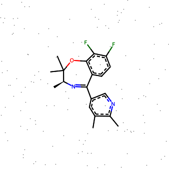 Cc1cc(C2=N[C@@H](C)C(C)(C)Oc3c2ccc(F)c3F)cnc1C